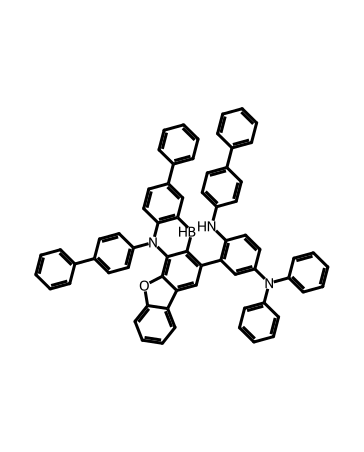 B1c2cc(-c3ccccc3)ccc2N(c2ccc(-c3ccccc3)cc2)c2c1c(-c1cc(N(c3ccccc3)c3ccccc3)ccc1Nc1ccc(-c3ccccc3)cc1)cc1c2oc2ccccc21